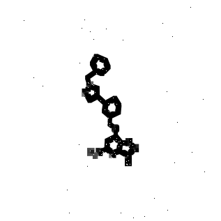 Nc1cc(OCc2cccc(-c3cnn(Cc4ccccc4)c3)c2)c2nn[nH]c2n1